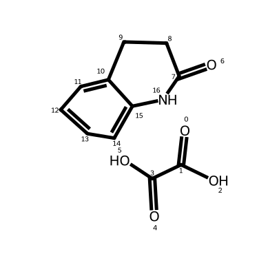 O=C(O)C(=O)O.O=C1CCc2ccccc2N1